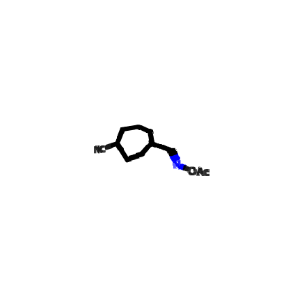 CC(=O)O/N=C/C1CCCC(C#N)CC1